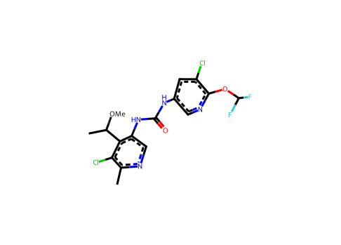 COC(C)c1c(NC(=O)Nc2cnc(OC(F)F)c(Cl)c2)cnc(C)c1Cl